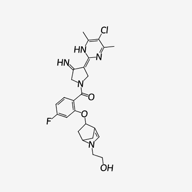 CC1=N/C(=C2\CN(C(=O)c3ccc(F)cc3OC3CC4CC3=CN4CCO)CC2=N)NC(C)=C1Cl